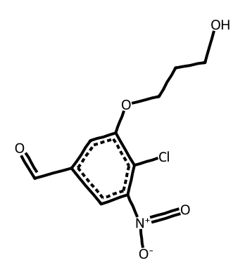 O=Cc1cc(OCCCO)c(Cl)c([N+](=O)[O-])c1